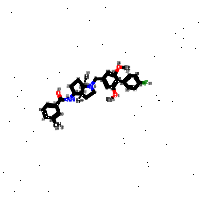 CCOc1cc(CN2CC[C@H]3C(NC(=O)c4cccc(C)c4)CC[C@H]32)cc(OCC)c1-c1ccc(F)cc1